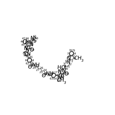 C[C@H](CC(=O)N1CCC(O)(Cn2cnc3c(-c4ccc(CNC(=O)CCCCCCNC(=O)c5ccc(-c6csc(N7N=C(c8ccccc8)/C(=N\Nc8nccs8)C7=O)n6)cc5)cc4)n(C)nc3c2=O)CC1)c1ccccc1